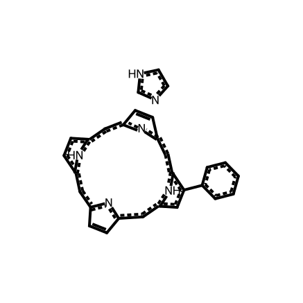 C1=Cc2cc3cc(-c4ccccc4)c(cc4nc(cc5ccc(cc1n2)[nH]5)C=C4)[nH]3.c1c[nH]cn1